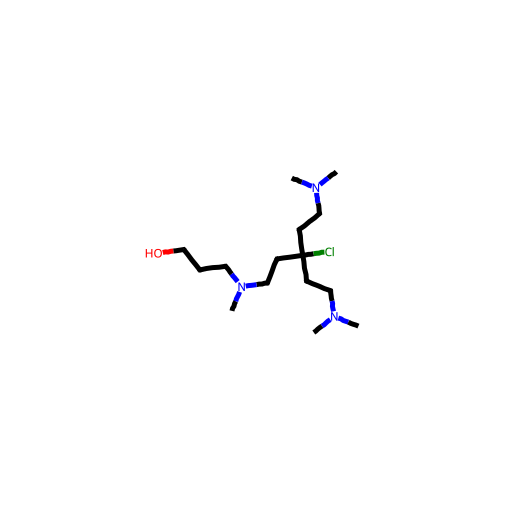 CN(C)CCC(Cl)(CCN(C)C)CCN(C)CCCO